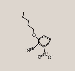 CSCCCOc1cccc([N+](=O)[O-])c1C#N